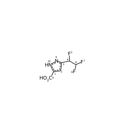 O=C(O)c1cc(C(F)C(F)F)n[nH]1